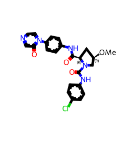 CO[C@@H]1C[C@H](C(=O)Nc2ccc(-n3ccncc3=O)cc2)N(C(=O)Nc2ccc(Cl)cc2)C1